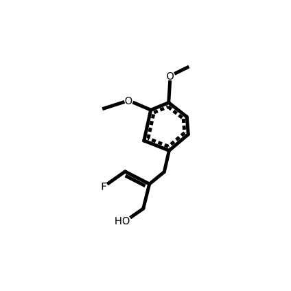 COc1ccc(CC(=CF)CO)cc1OC